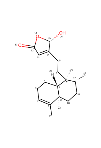 CC1=CCC[C@@H]2[C@@](C)(CCC3=CC(=O)O[C@@H]3O)[C@H](C)CC[C@@]12C